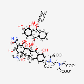 C[C@H]1c2cccc(O)c2C(=O)C2=C(O)[C@]3(O)C(=O)C(C(N)=O)=C(O)[C@@H](N(C)C)[C@@H]3[C@@H](O)[C@@H]21.O.O=C([O-])CN(CCN(CC(=O)[O-])CC(=O)[O-])CC(=O)[O-].O=C1c2ccccc2C(=O)c2c1ccc(O)c2O.[Na+].[Na+].[Na+].[Na+]